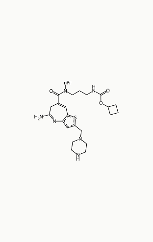 CCCN(CCCNC(=O)OC1CCC1)C(=O)C1=Cc2sc(CN3CCNCC3)cc2N=C(N)C1